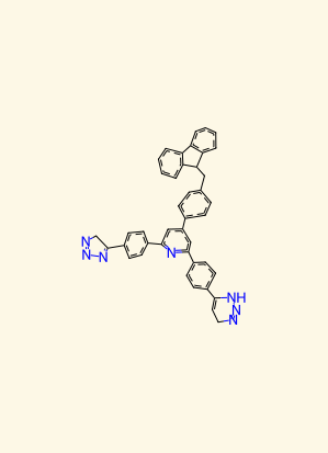 C1=C(c2ccc(-c3cc(-c4ccc(CC5c6ccccc6-c6ccccc65)cc4)cc(-c4ccc(C5=NN=NC5)cc4)n3)cc2)NN=NC1